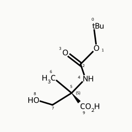 CC(C)(C)OC(=O)N[C@@](C)(CO)C(=O)O